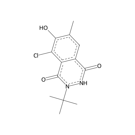 Cc1cc2c(=O)[nH]n(C(C)(C)C)c(=O)c2c(Cl)c1O